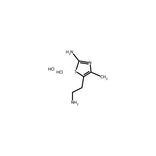 Cc1nc(N)sc1CCN.Cl.Cl